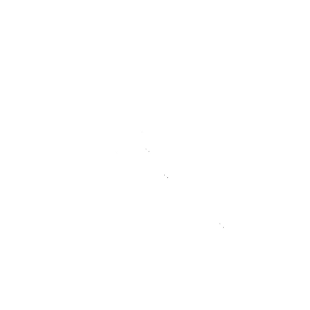 CN1CCC(Oc2cccc(NC(=O)c3ccccc3OC(F)(F)F)n2)CC1